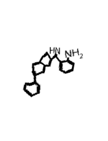 N=C(c1ccc2ccc(-c3ccccc3)cc2c1)c1ccccc1N